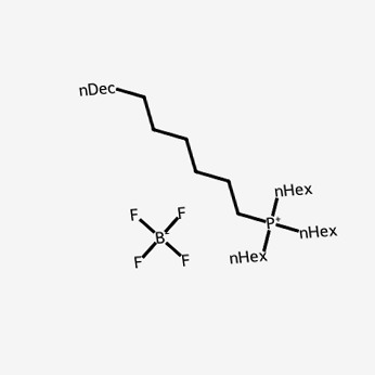 CCCCCCCCCCCCCCCC[P+](CCCCCC)(CCCCCC)CCCCCC.F[B-](F)(F)F